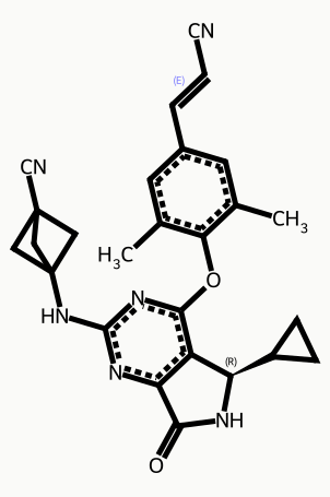 Cc1cc(/C=C/C#N)cc(C)c1Oc1nc(NC23CC(C#N)(C2)C3)nc2c1[C@@H](C1CC1)NC2=O